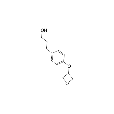 OCCCc1ccc(OC2COC2)cc1